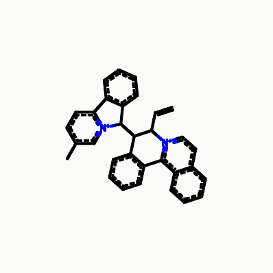 C=CC1C(C2c3ccccc3-c3ccc(C)c[n+]32)c2ccccc2-c2c3ccccc3cc[n+]21